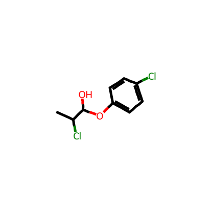 CC(Cl)C(O)Oc1ccc(Cl)cc1